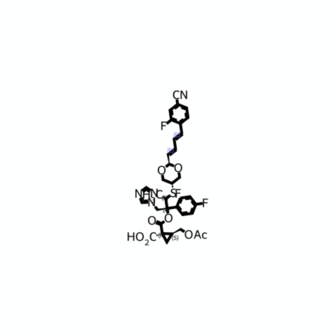 CC(=O)OC[C@H]1C[C@@]1(C(=O)O)C(=O)O[C@@](Cn1cncn1)(c1ccc(F)cc1F)[C@@H](C)S[C@H]1CO[C@H](/C=C/C=C/c2ccc(C#N)cc2F)OC1